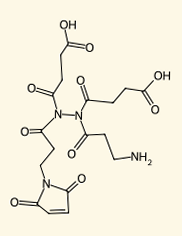 NCCC(=O)N(C(=O)CCC(=O)O)N(C(=O)CCC(=O)O)C(=O)CCN1C(=O)C=CC1=O